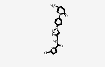 Cc1ccc(=O)n(-c2ccc(-n3cc(CNC(=O)c4ccc(Cl)s4)nn3)cc2)c1